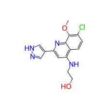 COc1c(Cl)ccc2c(NCCO)cc(-c3cn[nH]c3)nc12